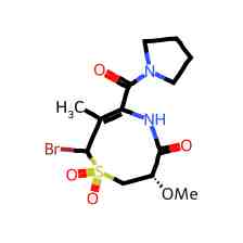 CO[C@@H]1CS(=O)(=O)C(Br)C(C)=C(C(=O)N2CCCC2)NC1=O